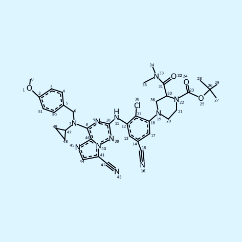 COc1ccc(CN(c2nc(Nc3cc(C#N)cc(N4CCN(C(=O)OC(C)(C)C)C(C(=O)N(C)C)C4)c3Cl)nn3c(C#N)cnc23)C2CC2)cc1